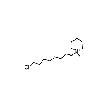 C[N+]1(CCCCCCCCCl)CCCCC1